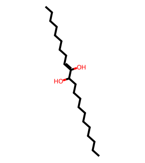 CCCCCCCCC=C(O)C(O)CCCCCCCCCCC